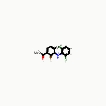 COC(=O)C1=CC=C(C)C(Nc2c(Cl)cccc2Cl)C1=S